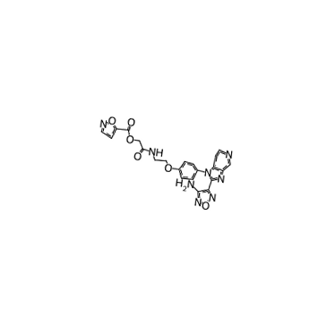 Nc1nonc1-c1nc2cnccc2n1-c1ccc(OCCNC(=O)COC(=O)c2ccno2)cc1